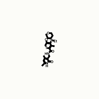 CCN(C1=C(Cl)CSC(C(=O)NCc2c(C)cc(C)[nH]c2=O)=C1C)C1CCOCC1